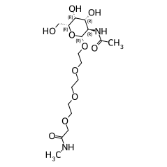 CNC(=O)COCCOCCOCCO[C@@H]1O[C@H](CO)[C@H](O)[C@H](O)[C@H]1NC(C)=O